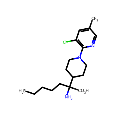 BCCCCC(N)(C(=O)O)C1CCN(c2ncc(C(F)(F)F)cc2Cl)CC1